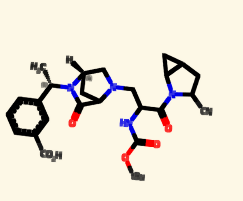 C[C@@H](c1cccc(C(=O)O)c1)N1C(=O)C2C[C@H]1CN2CC(NC(=O)OC(C)(C)C)C(=O)N1C(C#N)CC2CC21